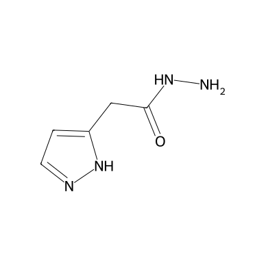 NNC(=O)Cc1ccn[nH]1